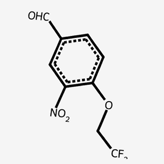 O=Cc1ccc(OCC(F)(F)F)c([N+](=O)[O-])c1